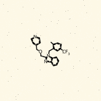 Cc1ccc(C(F)(F)F)cc1Cn1c(COCc2ccncc2)nc2ccccc21